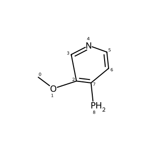 COc1cnccc1P